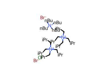 CC(C)C[N+](CC(C)C)(CC(C)C)CC(C)C.CC(C)C[N+](CC(C)C)(CC(C)C)CC(C)C.CCCC[N+](CCCC)(CCCC)CCCC.[Br-].[Br-].[Cl-]